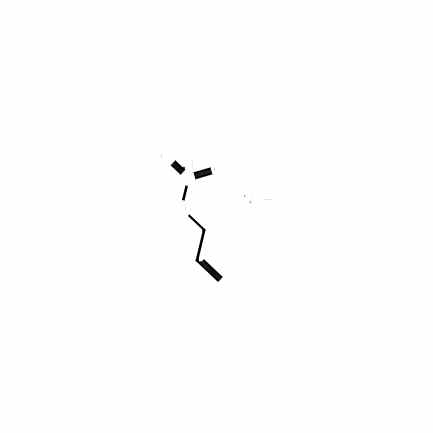 C=CCO[SH](=O)=O.[NaH]